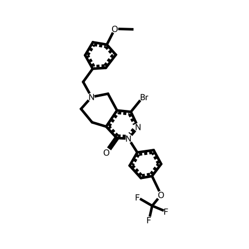 COc1ccc(CN2CCc3c(c(Br)nn(-c4ccc(OC(F)(F)F)cc4)c3=O)C2)cc1